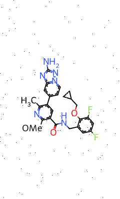 COc1nc(C)c(-c2ccn3nc(N)nc3c2)cc1C(=O)NCc1cc(F)cc(F)c1OCC1CC1